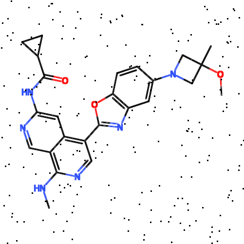 CNc1ncc(-c2nc3cc(N4CC(C)(OC)C4)ccc3o2)c2cc(NC(=O)C3CC3)ncc12